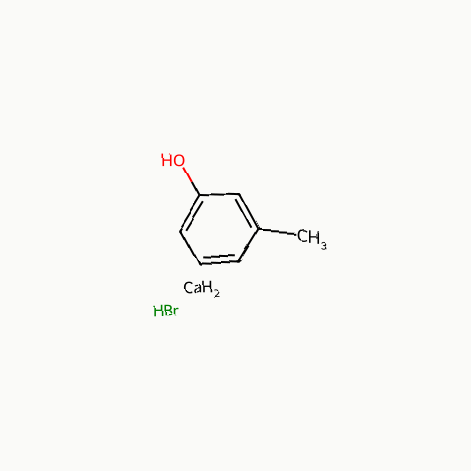 Br.Cc1cccc(O)c1.[CaH2]